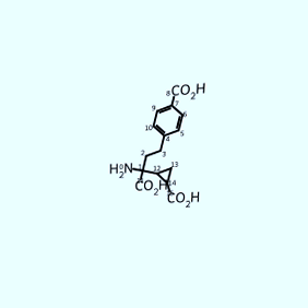 NC(CCc1ccc(C(=O)O)cc1)(C(=O)O)C1CC1C(=O)O